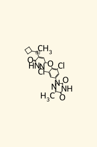 Cc1nn(-c2cc(Cl)c(Oc3cc([C@@H](C)C4CCC4)c(=O)[nH]n3)c(Cl)c2)c(=O)[nH]c1=O